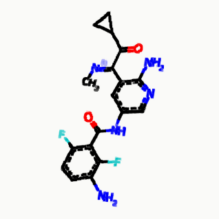 C/N=C(/C(=O)C1CC1)c1cc(NC(=O)c2c(F)ccc(N)c2F)cnc1N